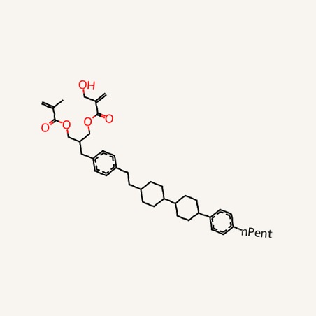 C=C(C)C(=O)OCC(COC(=O)C(=C)CO)Cc1ccc(CCC2CCC(C3CCC(c4ccc(CCCCC)cc4)CC3)CC2)cc1